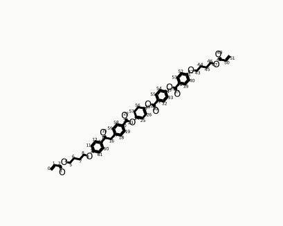 C=CC(=O)OCCCCOc1ccc(C(=O)Cc2ccc(C(=O)OC3=CC=C(OC(=O)c4ccc(OC(=O)c5ccc(OCCCCOC(=O)C=C)cc5)cc4)CC3)cc2)cc1